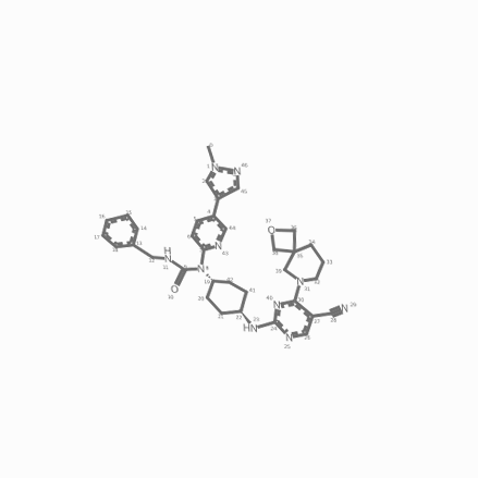 Cn1cc(-c2ccc(N(C(=O)NCc3ccccc3)[C@H]3CC[C@H](Nc4ncc(C#N)c(N5CCCC6(COC6)C5)n4)CC3)nc2)cn1